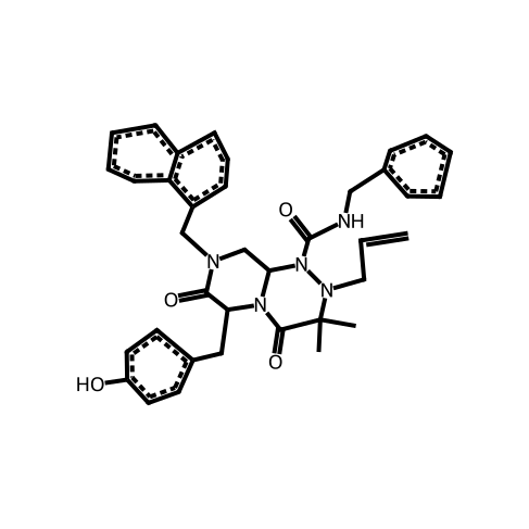 C=CCN1N(C(=O)NCc2ccccc2)C2CN(Cc3cccc4ccccc34)C(=O)C(Cc3ccc(O)cc3)N2C(=O)C1(C)C